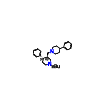 CCCCN1CC[C@H](c2ccccc2)[C@@H](CN2CCC(c3ccccc3)CC2)C1